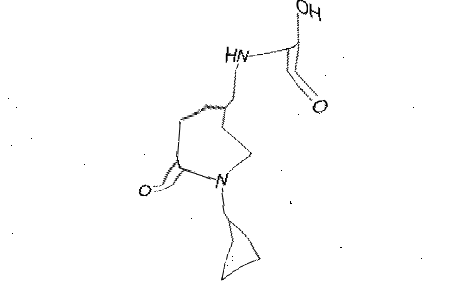 O=C(O)NC1CC(=O)N(C2CC2)C1